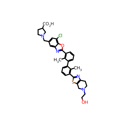 Cc1c(-c2nc3cc(CN4CCC(C(=O)O)C4)cc(Cl)c3o2)cccc1-c1cccc(-c2nc3c(s2)CN(CCO)CC3)c1C